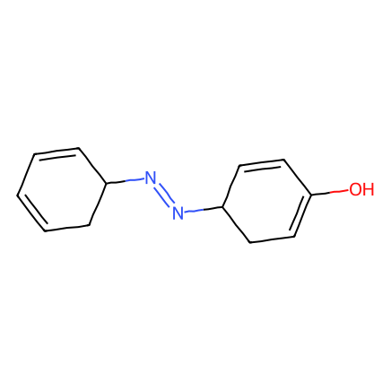 OC1=CCC(N=NC2C=CC=CC2)C=C1